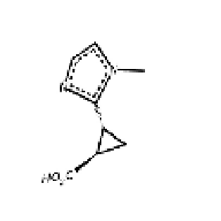 Cn1ccnc1[C@@H]1C[C@H]1C(=O)O